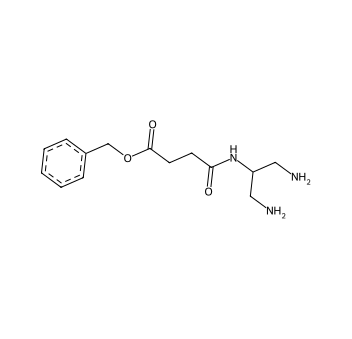 NCC(CN)NC(=O)CCC(=O)OCc1ccccc1